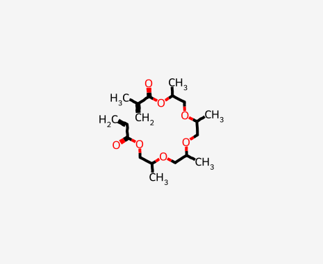 C=CC(=O)OCC(C)OCC(C)OCC(C)OCC(C)OC(=O)C(=C)C